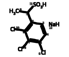 CC(c1ccc(Cl)c(Cl)c1Cl)S(=O)(=O)O.[NaH]